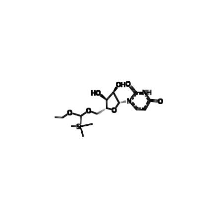 CCOC(OC[C@H]1O[C@@H](n2ccc(=O)[nH]c2=O)[C@H](O)[C@@H]1O)[Si](C)(C)C